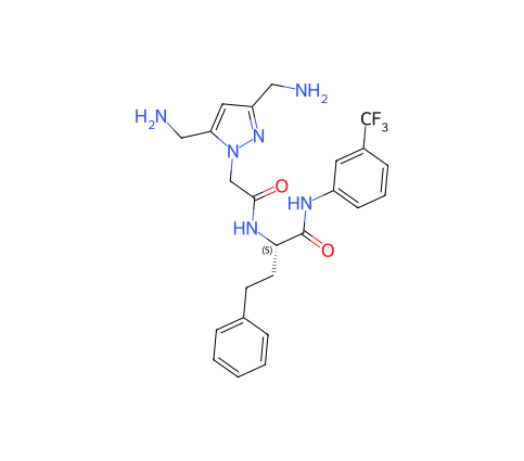 NCc1cc(CN)n(CC(=O)N[C@@H](CCc2ccccc2)C(=O)Nc2cccc(C(F)(F)F)c2)n1